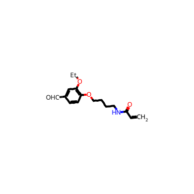 C=CC(=O)NCCCCOc1ccc(C=O)cc1OCC